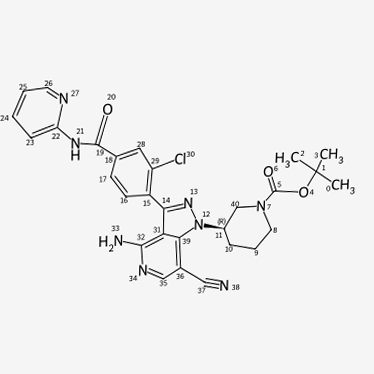 CC(C)(C)OC(=O)N1CCC[C@@H](n2nc(-c3ccc(C(=O)Nc4ccccn4)cc3Cl)c3c(N)ncc(C#N)c32)C1